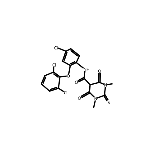 CN1C(=O)C(C(=O)Nc2ccc(Cl)cc2Oc2c(Cl)cccc2Cl)C(=O)N(C)C1=S